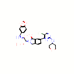 C[C@@H](NC(=O)[C@@H](CO)N1Cc2ccc(-c3nc(NC4CCOCC4)ncc3Cl)cc2C1=O)c1ccc2c(c1)OCO2